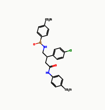 CCOC(=O)c1ccc(NC(=O)CC(CN[S+]([O-])c2ccc(C(=O)OCC)cc2)c2ccc(Cl)cc2)cc1